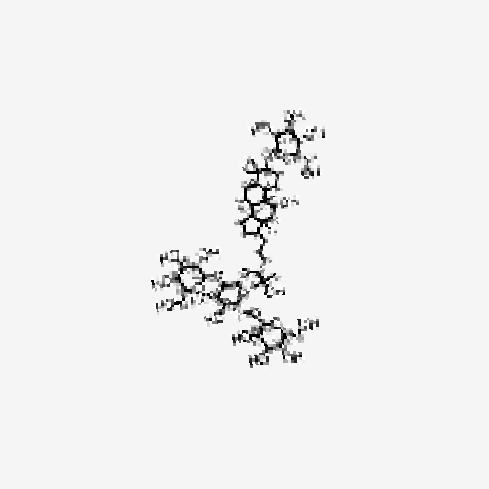 CC(C)(O)[C@@H](CCCC1CC[C@@]2(C)C3CC=C4C(CC[C@H](O[C@@H]5O[C@H](CO)[C@@H](O)[C@H](O)[C@H]5O)C4(C)C)[C@]3(C)[C@H](O)C[C@]12C)O[C@@H]1O[C@H](CO[C@H]2O[C@H](CO)[C@@H](O)[C@H](O)[C@H]2O)[C@@H](O)[C@H](O)[C@H]1O[C@H]1O[C@@H](CO)[C@H](O)[C@@H](O)[C@@H]1O